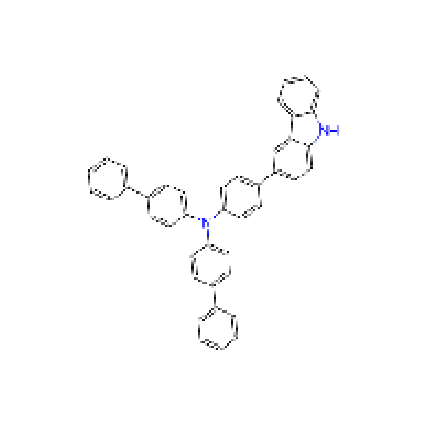 c1ccc(-c2ccc(N(c3ccc(-c4ccccc4)cc3)c3ccc(-c4ccc5[nH]c6ccccc6c5c4)cc3)cc2)cc1